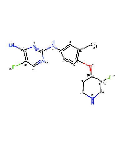 Nc1nc(Nc2ccc(O[C@@H]3CCNC[C@H]3F)c(C(F)(F)F)c2)ncc1F